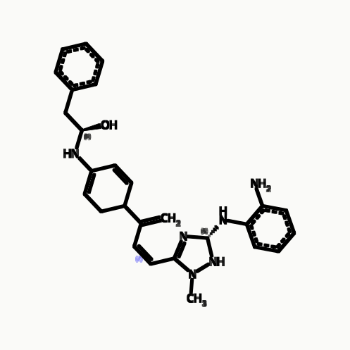 C=C(/C=C\C1=N[C@H](Nc2ccccc2N)NN1C)C1C=CC(N[C@H](O)Cc2ccccc2)=CC1